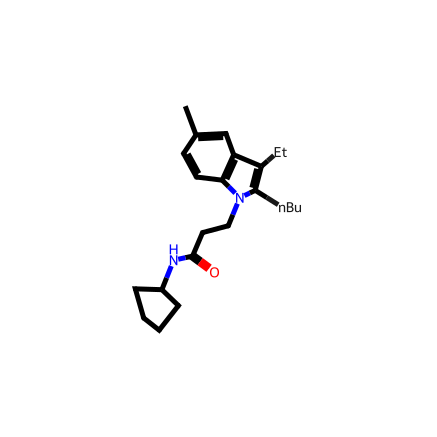 CCCCc1c(CC)c2cc(C)ccc2n1CCC(=O)NC1CCCC1